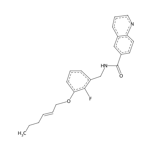 CCCC=CCOc1cccc(CNC(=O)c2ccc3ncccc3c2)c1F